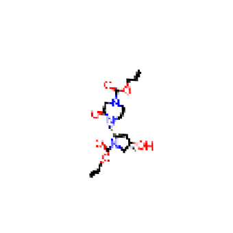 C=CCOC(=O)N1CCN(C[C@@H]2C[C@@H](O)CN2C(=O)OCC=C)C(=O)C1